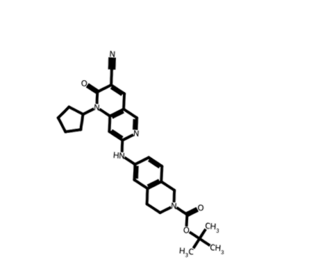 CC(C)(C)OC(=O)N1CCc2cc(Nc3cc4c(cn3)cc(C#N)c(=O)n4C3CCCC3)ccc2C1